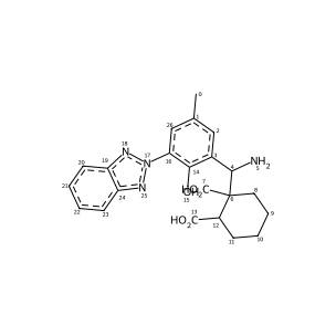 Cc1cc(C(N)C2(C(=O)O)CCCCC2C(=O)O)c(O)c(-n2nc3ccccc3n2)c1